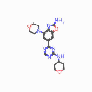 Nc1nc2c(N3CCOCC3)cc(-c3ncnc(NC4CCOCC4)n3)cc2o1